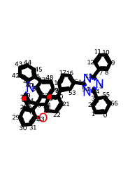 c1ccc(-c2nc(-c3ccccc3)nc(-c3cccc(-c4ccc5c(c4)C4(c6ccccc6O5)c5ccccc5-n5c6ccccc6c6cccc4c65)c3)n2)cc1